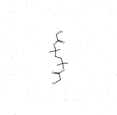 CC(C)(CCC(C)(C)OC(=O)CS)OC(=O)CS